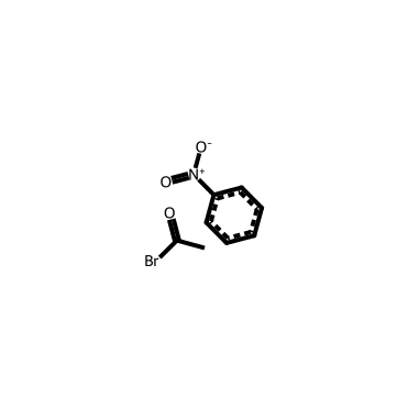 CC(=O)Br.O=[N+]([O-])c1ccccc1